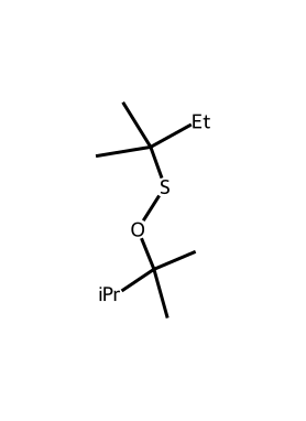 CCC(C)(C)SOC(C)(C)C(C)C